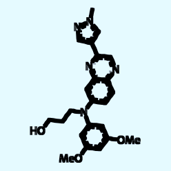 COc1cc(OC)cc(N(CCCO)c2ccc3ncc(-c4cnn(C)c4)nc3c2)c1